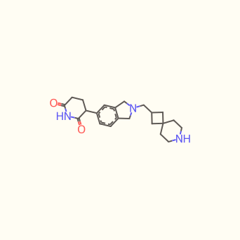 O=C1CCC(c2ccc3c(c2)CN(CC2CC4(CCNCC4)C2)C3)C(=O)N1